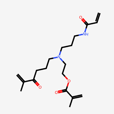 C=CC(=O)NCCCN(CCCC(=O)C(=C)C)CCOC(=O)C(=C)C